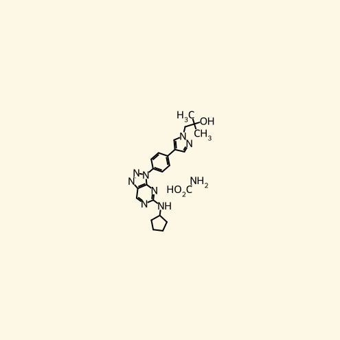 CC(C)(O)Cn1cc(-c2ccc(-n3nnc4cnc(NC5CCCC5)nc43)cc2)cn1.NC(=O)O